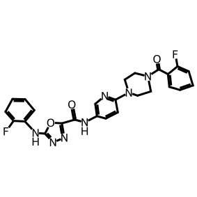 O=C(Nc1ccc(N2CCN(C(=O)c3ccccc3F)CC2)nc1)c1nnc(Nc2ccccc2F)o1